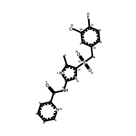 Cc1nc(NC(=O)c2ccccn2)sc1S(=O)(=O)Cc1ccc(F)c(Cl)c1